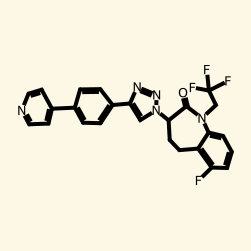 O=C1C(n2cc(-c3ccc(-c4ccncc4)cc3)nn2)CCc2c(F)cccc2N1CC(F)(F)F